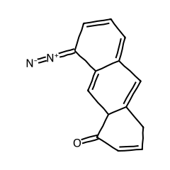 [N-]=[N+]=C1C=CC=C2C=C3CC=CC(=O)C3C=C21